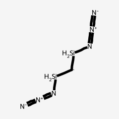 [N-]=[N+]=N[SiH2][CH][SiH2]N=[N+]=[N-]